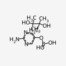 CC(C)(O)C(C)(C)O.Nc1ncc(OB(O)O)cn1